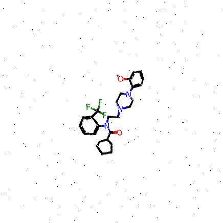 COc1ccccc1N1CCN(CCN(C(=O)C2CCCCC2)c2ccccc2C(F)(F)F)CC1